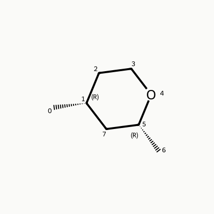 C[C@@H]1CCO[C@H](C)C1